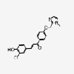 Cn1ccnc1COc1ccc(C(=O)/C=C/c2ccc(O)c(Cl)c2)cc1